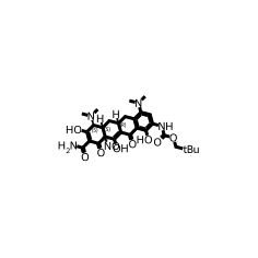 CN(C)c1cc(NC(=O)OCC(C)(C)C)c(O)c2c1C[C@H]1C[C@H]3[C@H](N(C)C)C(O)=C(C(N)=O)C(=O)[C@@]3(N=O)C(O)=C1C2=O